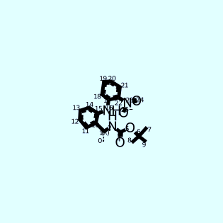 C[C@@H](NC(=O)OC(C)(C)C)c1ccccc1Nc1ccccc1[N+](=O)[O-]